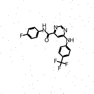 O=C(Nc1ccc(F)cc1)c1cc(Nc2ccc(C(F)(F)F)cc2)ncn1